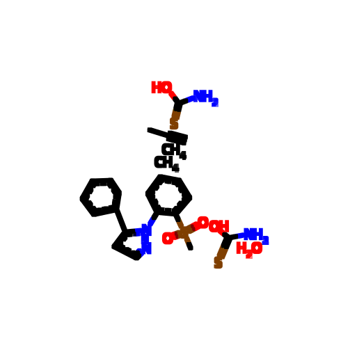 C.C.C#CC.CS(=O)(=O)c1ccccc1-n1nccc1-c1ccccc1.NC(O)=S.NC(O)=S.O